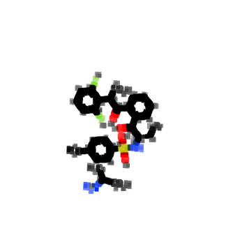 CC(N)C(=O)O.Cc1ccc(S(=O)(=O)N[C@@H](CC(C)C)C(=O)c2ccccc2C(=O)C(C(=O)O)c2c(F)cccc2F)cc1